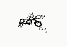 Cc1ccc(C(O)(C[C@@H](C)C(N)(Oc2ccccc2)C(C)O)c2ccc(C)cc2)cc1